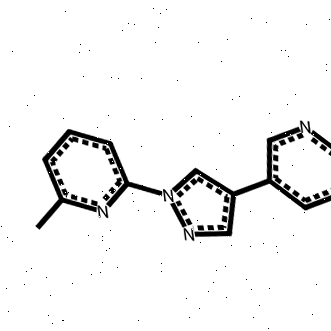 Cc1cccc(-n2cc(-c3cccnc3)cn2)n1